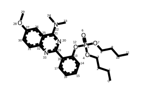 CCCCOP(=O)(OCCCC)Oc1ccccc1-c1nc(N(C)C)c2cc(OC)ccc2n1